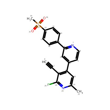 C#Cc1c(-c2ccnc(-c3ccc(S(C)(=O)=O)cc3)c2)cc(C)nc1F